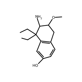 CCC1(CC)c2cc(O)ccc2CC(OC)C1N